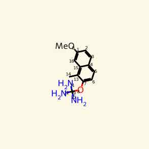 COc1ccc2ccc(OC(N)(N)N)c(C)c2c1